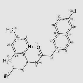 Cc1cnc(C(CCC(C)C)NC(=O)Cc2ccc3nc(Cl)ccc3c2)c(C)c1